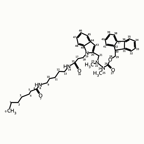 CCCCCCC(=O)NCCCCCNC(=O)CCn1c(CN(C)N(C)C(=O)OCC2c3ccccc3-c3ccccc32)cc2ccccc21